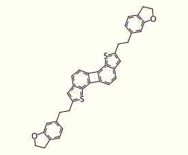 c1cc2c(cc1CCc1cc3ccc4c(c3s1)-c1ccc3cc(CCc5ccc6c(c5)OCC6)sc3c1-4)OCC2